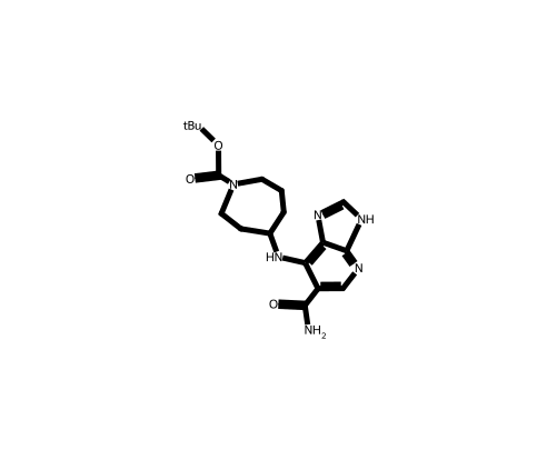 CC(C)(C)OC(=O)N1CCCC(Nc2c(C(N)=O)cnc3[nH]cnc23)CC1